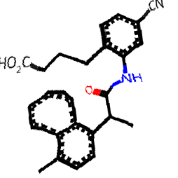 Cc1ccc(C(C)C(=O)Nc2cc(C#N)ccc2CCCC(=O)O)c2ccccc12